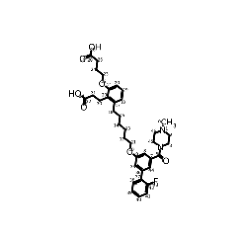 CN1CCN(C(=O)c2cc(OCCCCCCc3cccc(OCCCC(=O)O)c3CCC(=O)O)cc(-c3ccccc3F)c2)CC1